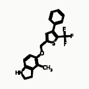 Cc1c(OCc2cc(-c3ccccc3)c(C(F)(F)F)s2)ccc2c1CCN2